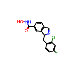 O=C(NO)c1ccc2c(c1)C(Cc1ccc(F)cc1Cl)N=C2